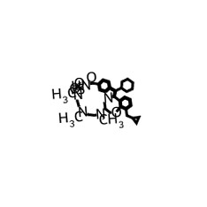 CN1CCN(C)C2COc3c(CC4CC4)cccc3-c3c(C4CCCCC4)c4ccc(cc4n3C2)C(=O)NS(=O)(=O)N(C)CC1